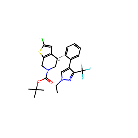 CCn1cc(-c2ccccc2[C@@H]2CN(C(=O)OC(C)(C)C)Cc3sc(Cl)cc32)c(C(F)(F)F)n1